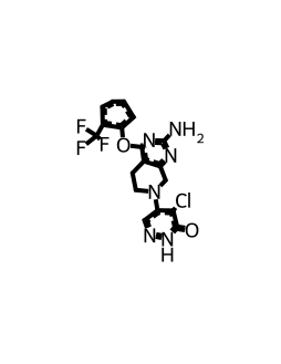 Nc1nc2c(c(Oc3ccccc3C(F)(F)F)n1)CCN(c1cn[nH]c(=O)c1Cl)C2